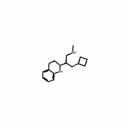 CNCC(CC1CCC1)C1CCc2ccccc2N1